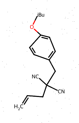 C=CCC(C#N)(C#N)Cc1ccc(OC(C)CC)cc1